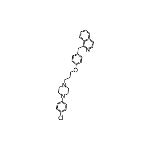 Clc1ccc(N2CCN(CCCOc3ccc(Cc4nccc5ccccc45)cc3)CC2)cc1